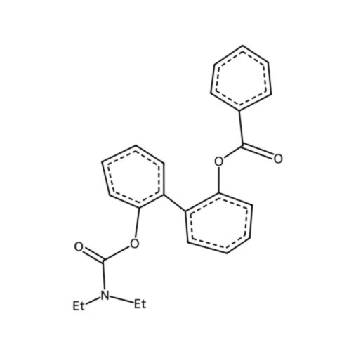 CCN(CC)C(=O)Oc1ccccc1-c1ccccc1OC(=O)c1ccccc1